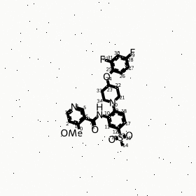 COc1ccncc1C(=O)Nc1cc(S(C)(=O)=O)ccc1N1CCC(Oc2ccc(F)cc2F)CC1